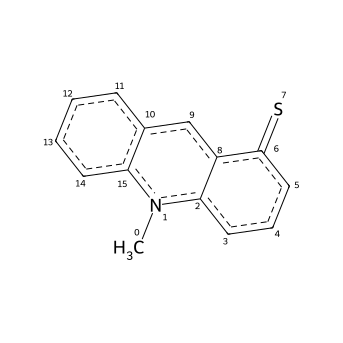 Cn1c2cccc(=S)c-2cc2ccccc21